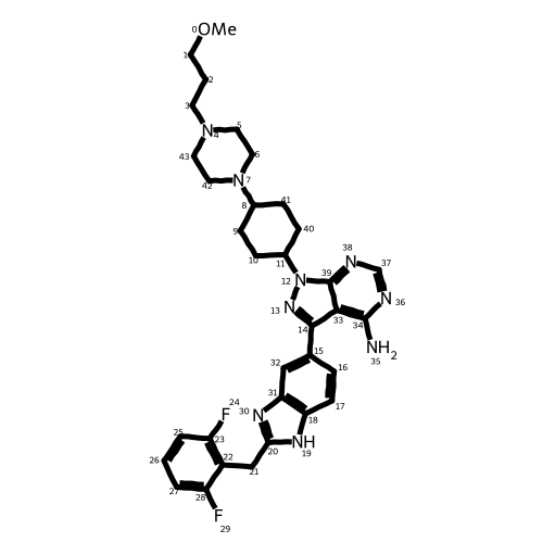 COCCCN1CCN(C2CCC(n3nc(-c4ccc5[nH]c(Cc6c(F)cccc6F)nc5c4)c4c(N)ncnc43)CC2)CC1